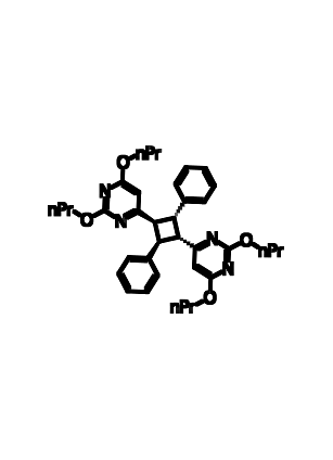 CCCOc1cc([C@H]2[C@H](c3ccccc3)[C@H](c3cc(OCCC)nc(OCCC)n3)[C@H]2c2ccccc2)nc(OCCC)n1